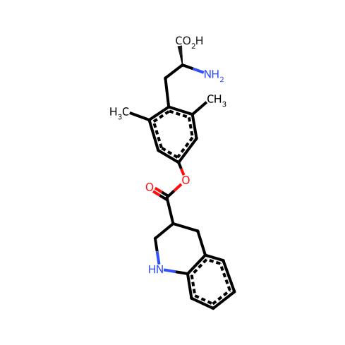 Cc1cc(OC(=O)C2CNc3ccccc3C2)cc(C)c1C[C@H](N)C(=O)O